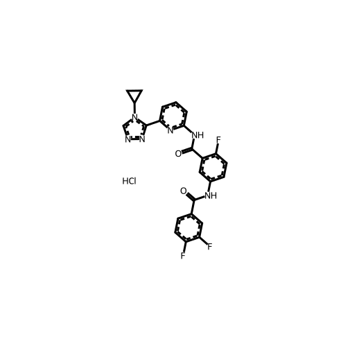 Cl.O=C(Nc1ccc(F)c(C(=O)Nc2cccc(-c3nncn3C3CC3)n2)c1)c1ccc(F)c(F)c1